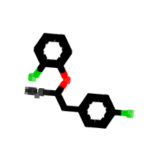 O=C(O)C(Cc1ccc(Cl)cc1)Oc1ccccc1Cl